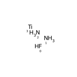 F.N.N.[Ti]